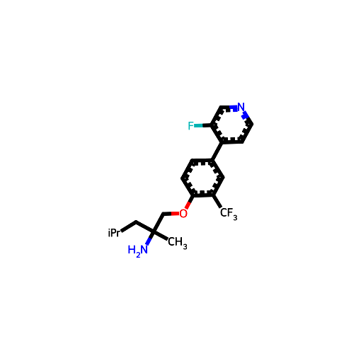 CC(C)CC(C)(N)COc1ccc(-c2ccncc2F)cc1C(F)(F)F